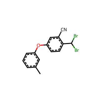 Cc1cccc(Oc2ccc(C(Br)Br)c(C#N)c2)c1